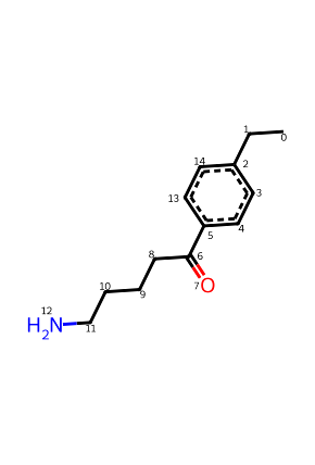 CCc1ccc(C(=O)CCCCN)cc1